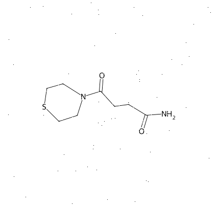 NC(=O)[CH]CC(=O)N1CCSCC1